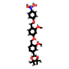 COc1cc(OCc2ccc(B3OC(C)(C)C(C)(C)O3)cc2OC)ccc1COc1ccc([N+](=O)O)cc1